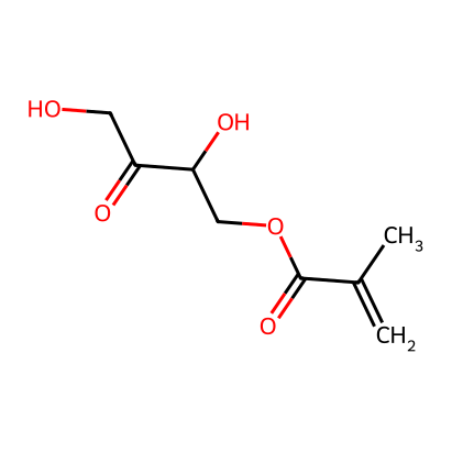 C=C(C)C(=O)OCC(O)C(=O)CO